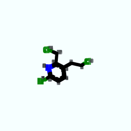 ClCCc1ccc(Br)nc1CCl